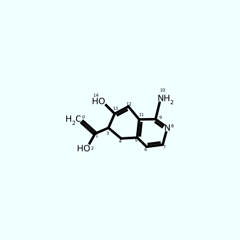 C=C(O)C1Cc2ccnc(N)c2C=C1O